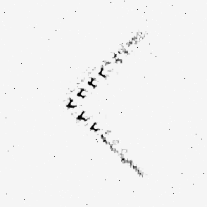 O=C(O)CC(O)(CC(=O)O)C(=O)[O-].O=C(O)CC(O)(CC(=O)O)C(=O)[O-].O=C(O)CC(O)(CC(=O)O)C(=O)[O-].O=C([O-])CC(O)(CC(=O)[O-])C(=O)[O-].O=C([O-])CC(O)(CC(=O)[O-])C(=O)[O-].O=C([O-])CC(O)(CC(=O)[O-])C(=O)[O-].O=[Si](O)O.O=[Si](O)O.O=[Si](O)O.O=[Si](O)O.O=[Si](O)O.O=[Si](O)O.[Na+].[Na+].[Na+].[Na+].[Na+].[Na+].[Na+].[Na+].[Na+].[Na+].[Na+].[Na+]